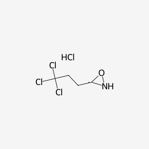 Cl.ClC(Cl)(Cl)CC[C]1NO1